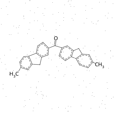 Cc1ccc2c(c1)Cc1cc(C(=O)c3ccc4c(c3)Cc3cc(C)ccc3-4)ccc1-2